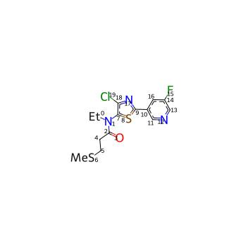 CCN(C(=O)CCSC)c1sc(-c2cncc(F)c2)nc1Cl